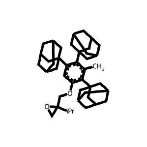 Cc1c(C23CC4CC(CC(C4)C2)C3)c(OCC2(C(C)C)CO2)cc(C23CC4CC(CC(C4)C2)C3)c1C12CC3CC(CC(C3)C1)C2